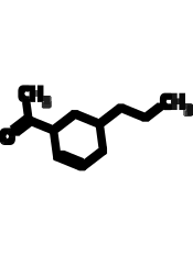 CCCC1CC=CC(C(C)=O)C1